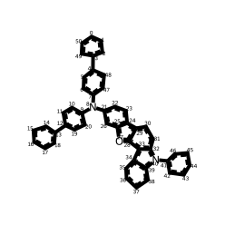 c1ccc(-c2ccc(N(c3ccc(-c4ccccc4)cc3)c3ccc4c(c3)oc3c4ccc4c3c3ccccc3n4-c3ccccc3)cc2)cc1